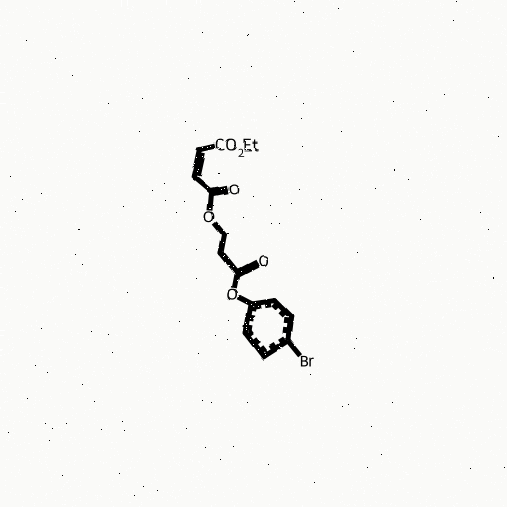 CCOC(=O)/C=C\C(=O)OCCC(=O)Oc1ccc(Br)cc1